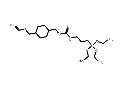 C=COCC1CCC(COC(=O)NCCC[Si](OCC)(OCC)OCC)CC1